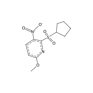 COc1ccc([N+](=O)[O-])c(S(=O)(=O)C2CCCC2)n1